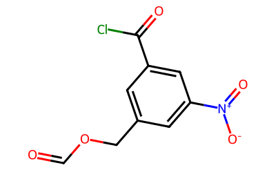 O=COCc1cc(C(=O)Cl)cc([N+](=O)[O-])c1